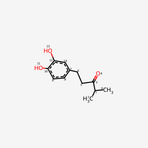 CC(C)C(=O)CCc1ccc(O)c(O)c1